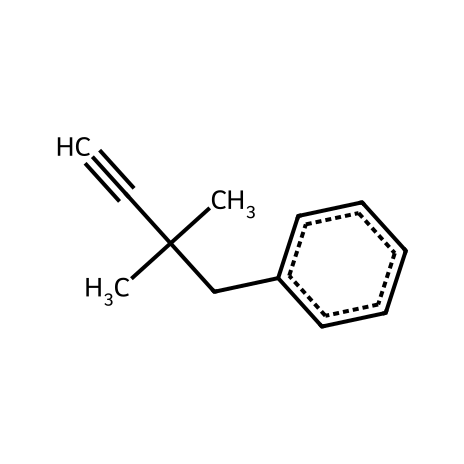 C#CC(C)(C)Cc1ccccc1